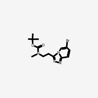 CN(CCc1nnc2ccc(Br)cn12)C(=O)OC(C)(C)C